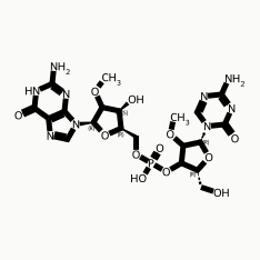 COC1C(OP(=O)(O)OC[C@H]2O[C@@H](n3cnc4c(=O)[nH]c(N)nc43)C(OC)[C@H]2O)[C@@H](CO)O[C@H]1n1cnc(N)nc1=O